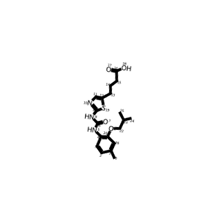 Cc1ccc(NC(=O)Nc2ncc(CCCC(=O)O)s2)c(OCC(C)C)c1